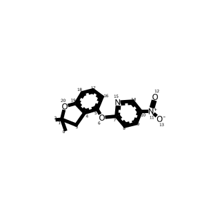 CC1(C)Cc2c(Oc3ccc([N+](=O)[O-])cn3)cccc2O1